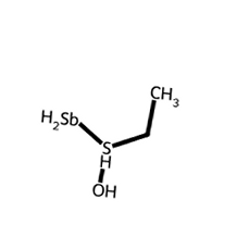 CC[SH](O)[SbH2]